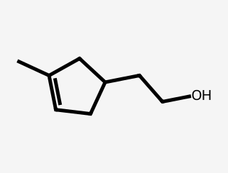 CC1=CCC(CCO)C1